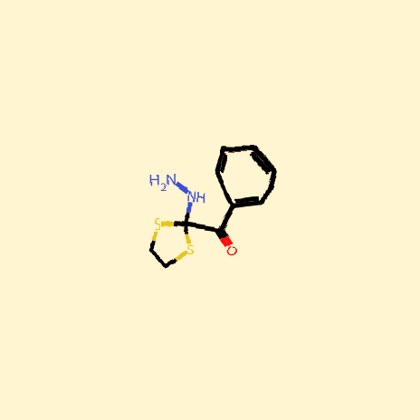 NNC1(C(=O)c2ccccc2)SCCS1